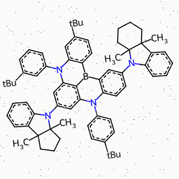 CC(C)(C)c1ccc(N2c3ccc(N4c5ccccc5C5(C)CCCCC45C)cc3B3c4ccc(C(C)(C)C)cc4N(c4cccc(C(C)(C)C)c4)c4cc(N5c6ccccc6C6(C)CCCC56C)cc2c43)cc1